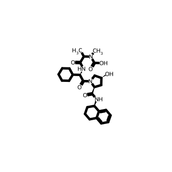 CC(C(=O)N[C@H](C(=O)N1C[C@H](O)C[C@H]1C(=O)N[C@@H]1CCCc2ccccc21)C1CCCCC1)N(C)C(=O)O